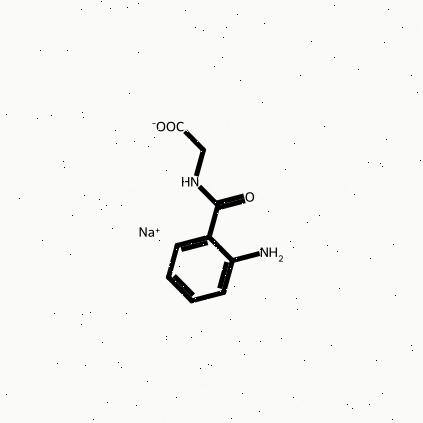 Nc1ccccc1C(=O)NCC(=O)[O-].[Na+]